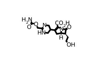 NC(=O)OCC1=NCC(C2=C(C(=O)O)N3C(=O)[C@@H](CCO)[C@H]3C2)CN1